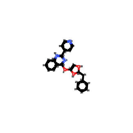 C1=C(Oc2nc(-c3ccncc3)nc3ccccc23)OC(Cc2ccccc2)O1